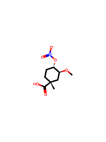 CO[C@H]1C[C@](C)(C(=O)O)CC[C@@H]1O[N+](=O)[O-]